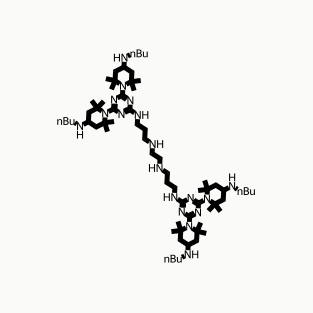 CCCCNC1CC(C)(C)N(c2nc(NCCCNCCNCCCNc3nc(N4C(C)(C)CC(NCCCC)CC4(C)C)nc(N4C(C)(C)CC(NCCCC)CC4(C)C)n3)nc(N3C(C)(C)CC(NCCCC)CC3(C)C)n2)C(C)(C)C1